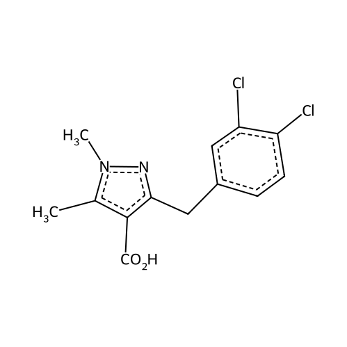 Cc1c(C(=O)O)c(Cc2ccc(Cl)c(Cl)c2)nn1C